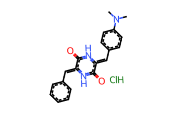 CN(C)c1ccc(/C=c2\[nH]c(=O)/c(=C/c3ccccc3)[nH]c2=O)cc1.Cl